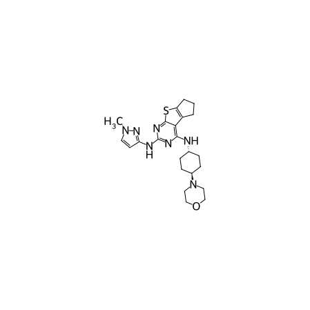 Cn1ccc(Nc2nc(N[C@H]3CC[C@H](N4CCOCC4)CC3)c3c4c(sc3n2)CCC4)n1